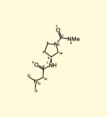 CNC(=O)N1CC[C@H](NC(=O)CN(C)C)C1